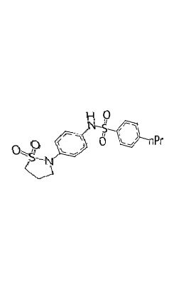 CCCc1ccc(S(=O)(=O)Nc2ccc(N3CCCS3(=O)=O)cc2)cc1